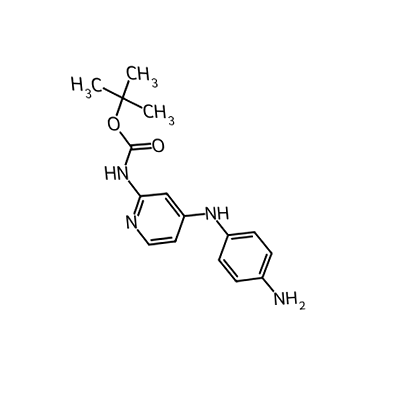 CC(C)(C)OC(=O)Nc1cc(Nc2ccc(N)cc2)ccn1